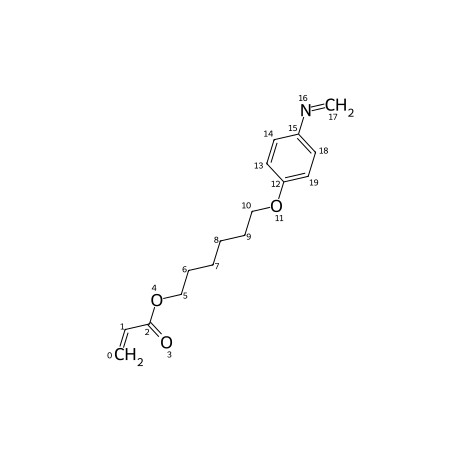 C=CC(=O)OCCCCCCOc1ccc(N=C)cc1